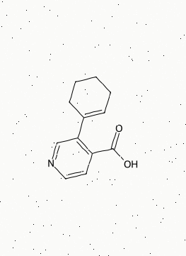 O=C(O)c1ccn[c]c1C1=CCCCC1